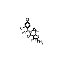 CCCC(c1ccc(Cl)cc1Cl)N(C(=O)c1c(CC)nn(C)c1F)C1CC1